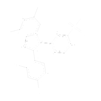 Cc1cn2c(-c3ccnc(S(C)(=O)=O)n3)c(-c3ccc(F)cc3F)nc2c(C)n1